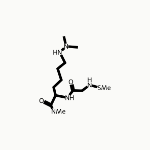 CNC(=O)C(CCCCNN(C)C)NC(=O)CNSC